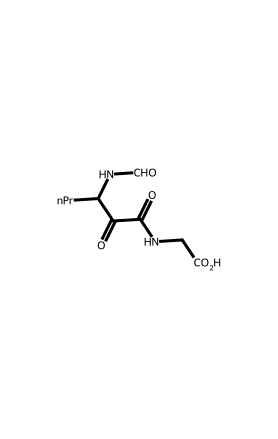 CCCC(NC=O)C(=O)C(=O)NCC(=O)O